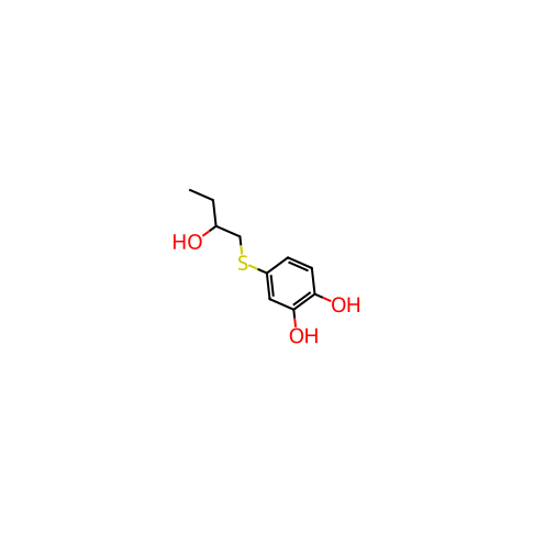 CCC(O)CSc1ccc(O)c(O)c1